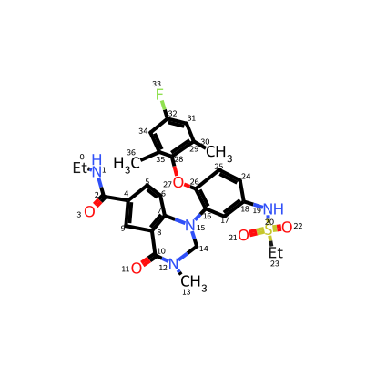 CCNC(=O)c1ccc2c(c1)C(=O)N(C)CN2c1cc(NS(=O)(=O)CC)ccc1Oc1c(C)cc(F)cc1C